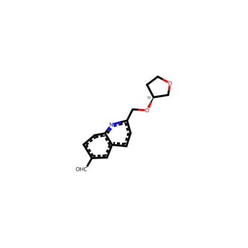 O=Cc1ccc2nc(CO[C@H]3CCOC3)ccc2c1